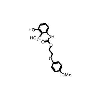 COc1ccc(OCCOC(=O)Nc2cccc(O)c2C(=O)O)cc1